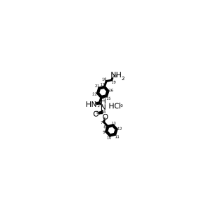 Cl.N=C(NC(=O)OCc1ccccc1)c1ccc(CCN)cc1